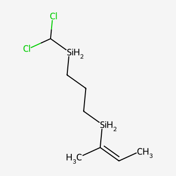 CC=C(C)[SiH2]CCC[SiH2]C(Cl)Cl